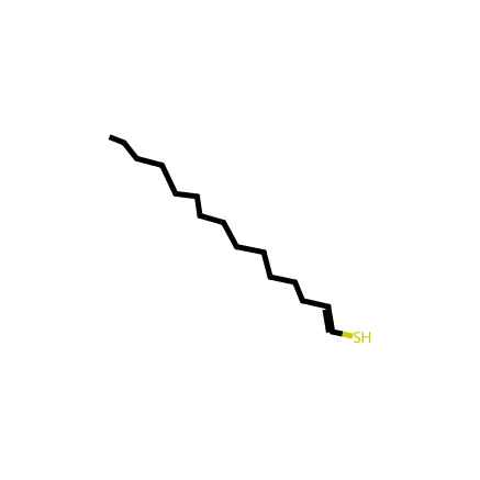 CCCCCCCCCCCCCC=CS